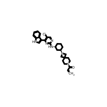 C=CC(=O)N1CCC2(CC1)CN([C@@H]1CCC[C@@H](Nc3ncc(Cl)c(-c4c[nH]c5ccccc45)n3)C1)C2